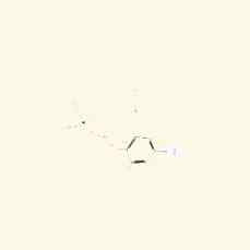 COCOc1cc(N)ccc1OCOC(I)(I)I